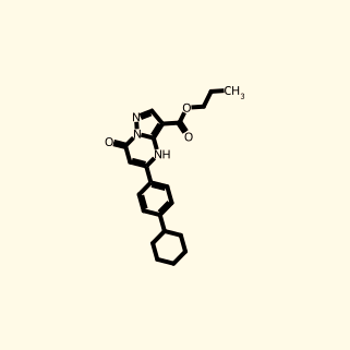 CCCOC(=O)c1cnn2c(=O)cc(-c3ccc(C4CCCCC4)cc3)[nH]c12